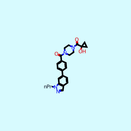 CCCn1ncc2ccc(-c3ccc(C(=O)N4CCN(C(=O)C5(O)CC5)CC4)cc3)cc21